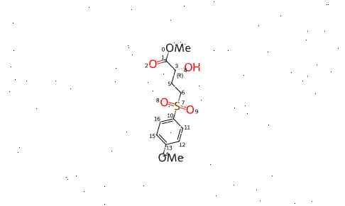 COC(=O)[C@H](O)CCS(=O)(=O)c1ccc(OC)cc1